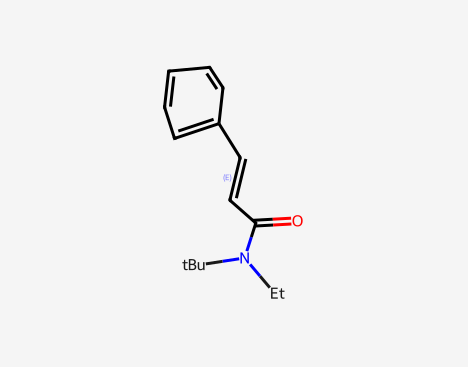 CCN(C(=O)/C=C/c1ccccc1)C(C)(C)C